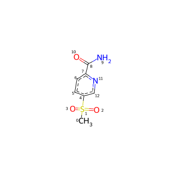 CS(=O)(=O)c1ccc(C(N)=O)nc1